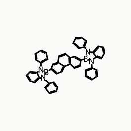 c1ccc(N2B(c3ccc4c(ccc5cc(B6N(c7ccccc7)c7ccccc7N6c6ccccc6)ccc54)c3)N(c3ccccc3)c3ccccc32)cc1